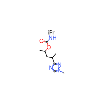 CC(C)NC(=O)OC(C)CC(C)c1ncn(C)n1